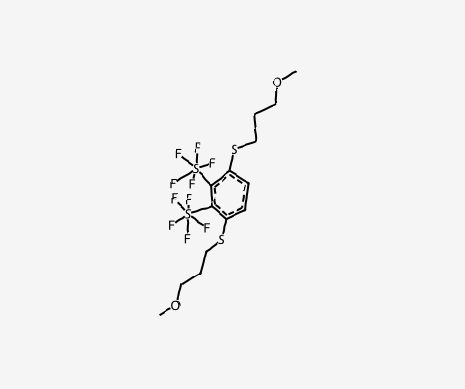 COCCCSc1ccc(SCCCOC)c(S(F)(F)(F)(F)F)c1S(F)(F)(F)(F)F